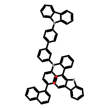 c1cc(-c2ccc(-n3c4ccccc4c4ccccc43)cc2)cc(N(c2ccc(-c3cccc4ccccc34)cc2)c2ccccc2-c2cccc3c2sc2ccccc23)c1